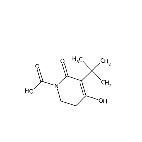 CC(C)(C)C1=C(O)CCN(C(=O)O)C1=O